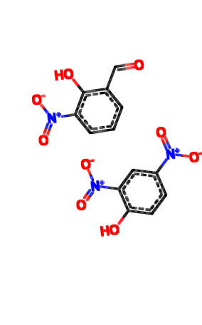 O=Cc1cccc([N+](=O)[O-])c1O.O=[N+]([O-])c1ccc(O)c([N+](=O)[O-])c1